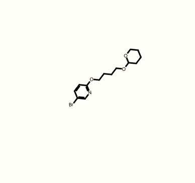 Brc1ccc(OCCCCOC2CCCCO2)nc1